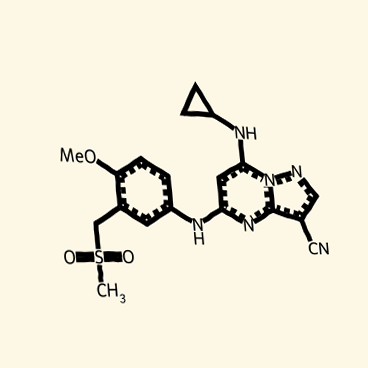 COc1ccc(Nc2cc(NC3CC3)n3ncc(C#N)c3n2)cc1CS(C)(=O)=O